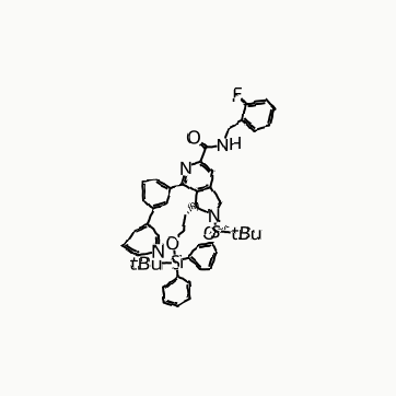 CC(C)(C)[S+]([O-])N1Cc2cc(C(=O)NCc3ccccc3F)nc(-c3cccc(-c4cccnc4)c3)c2[C@H]1CCO[Si](c1ccccc1)(c1ccccc1)C(C)(C)C